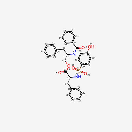 O=C(N[C@H](COC(=O)[C@@H](Cc1ccccc1)NS(=O)(=O)c1ccc(O)cc1)Cc1ccccc1)c1ccccc1